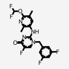 Cc1cc(Nc2nc(=O)c(F)cn2Cc2cc(F)cc(F)c2)c(C)nc1OC(F)F